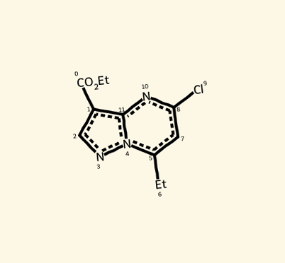 CCOC(=O)c1cnn2c(CC)cc(Cl)nc12